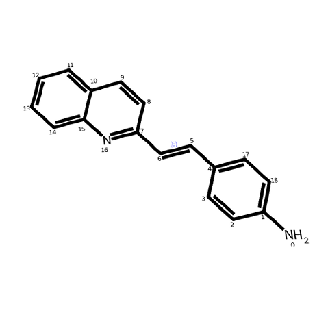 Nc1ccc(/C=C/c2ccc3ccccc3n2)cc1